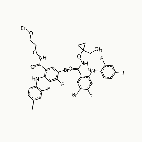 CCOCCONC(=O)c1cc(Br)c(F)cc1Nc1ccc(I)cc1F.O=C(NOC1(CO)CC1)c1cc(Br)c(F)cc1Nc1ccc(I)cc1F